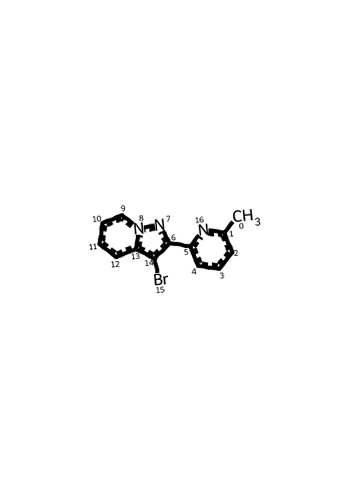 Cc1cccc(-c2nn3ccccc3c2Br)n1